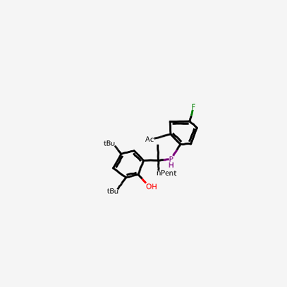 CCCCCC(C)(Pc1ccc(F)cc1C(C)=O)c1cc(C(C)(C)C)cc(C(C)(C)C)c1O